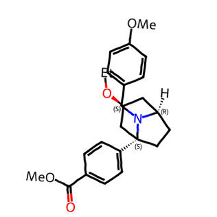 CCO[C@H]1C[C@H]2CC[C@@](c3ccc(C(=O)OC)cc3)(C1)N2Cc1ccc(OC)cc1